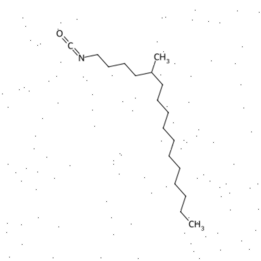 CCCCCCCCCCCC(C)CCCCN=C=O